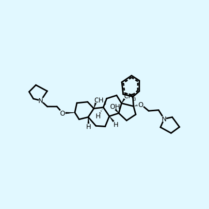 C[C@]12CC[C@H](OCCN3CCCC3)C[C@H]1CC[C@@H]1[C@@H]2CC[C@]2(C)[C@@](OCCN3CCCC3)(c3ccccc3)CC[C@]12O